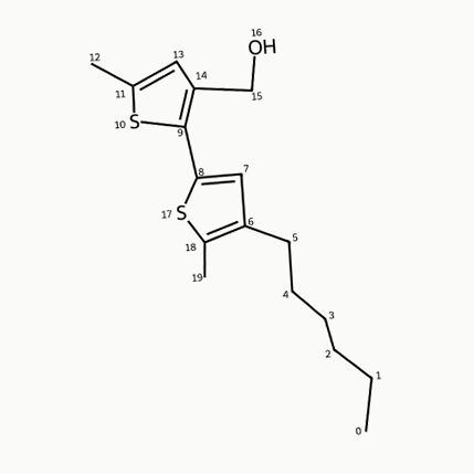 CCCCCCc1cc(-c2sc(C)cc2CO)sc1C